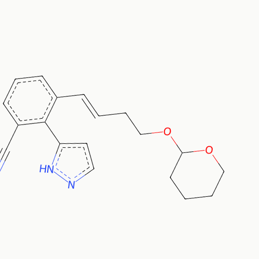 N#Cc1cccc(C=CCCOC2CCCCO2)c1-c1ccn[nH]1